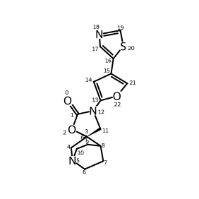 O=C1O[C@]2(CN3CCC2CC3)CN1c1cc(-c2cncs2)co1